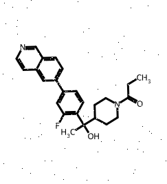 CCC(=O)N1CCC(C(C)(O)c2ccc(-c3ccc4cnccc4c3)cc2F)CC1